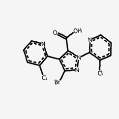 O=C(O)c1c(-c2ncccc2Cl)c(Br)nn1-c1ncccc1Cl